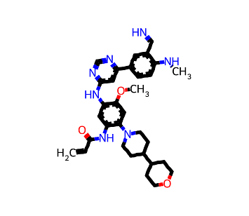 C=CC(=O)Nc1cc(Nc2cc(-c3ccc(NC)c(C=N)c3)ncn2)c(OC)cc1N1CCC(C2CCOCC2)CC1